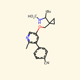 Cc1ncc(OCC2(C(NC(=O)O)C(C)(C)C)CC2)cc1-c1ccc(C#N)cc1